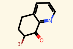 O=C1c2ncccc2CCC1Br